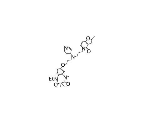 CCN1C(=O)C(C)(C)C(=O)N(C)c2cc(OCCCN(CCCn3ccc4oc(C)cc4c3=O)c3ccncc3)ccc21